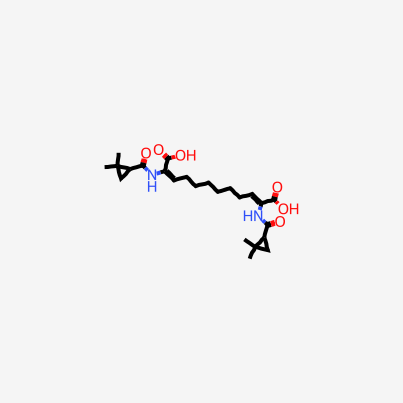 CC1(C)CC1C(=O)NC(=CCCCCCCC=C(NC(=O)C1CC1(C)C)C(=O)O)C(=O)O